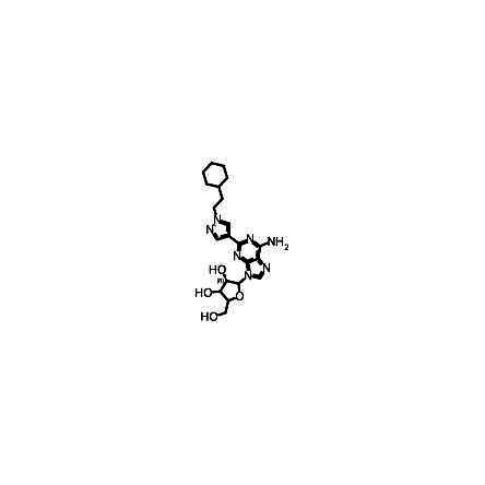 Nc1nc(-c2cnn(CCC3CCCCC3)c2)nc2c1ncn2C1OC(CO)C(O)[C@H]1O